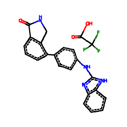 O=C(O)C(F)(F)F.O=C1NCc2c1cccc2-c1ccc(Nc2nc3ccccc3[nH]2)cc1